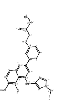 CCOc1ccc2nc(-c3cccc(OCC(=O)NC(C)(C)C)c3)nc(Nc3cnn(PI)c3)c2c1Cl